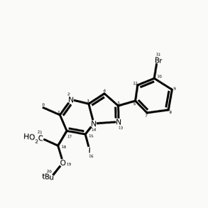 Cc1nc2cc(-c3cccc(Br)c3)nn2c(I)c1C(OC(C)(C)C)C(=O)O